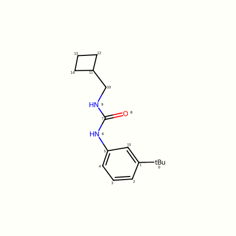 CC(C)(C)c1cccc(NC(=O)NCC2CCC2)c1